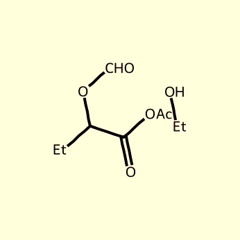 CCC(OC=O)C(=O)OC(C)=O.CCO